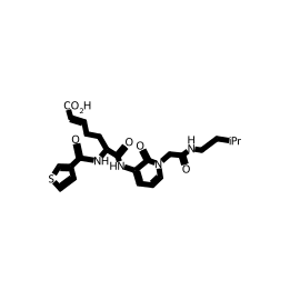 CC(C)CCNC(=O)Cn1cccc(NC(=O)C(CCC=CC(=O)O)NC(=O)c2ccsc2)c1=O